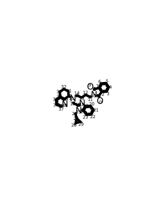 O=C1c2ccccc2C(=O)N1CCCCN(Cc1nc2ccccc2n1CC1CC1)C1CCCc2cccnc21